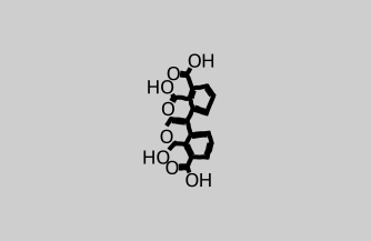 CC=C(c1cccc(C(=O)O)c1C(=O)O)c1cccc(C(=O)O)c1C(=O)O